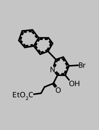 CCOC(=O)CCC(=O)c1nc(-c2ccc3ccccc3c2)cc(Br)c1O